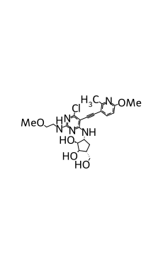 COCCNc1nc(Cl)c(C#Cc2ccc(OC)nc2C)c(N[C@@H]2C[C@H](CO)[C@@H](O)[C@H]2O)n1